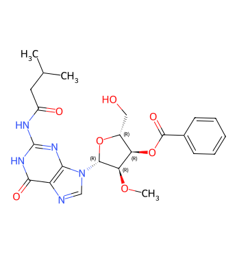 CO[C@@H]1[C@H](OC(=O)c2ccccc2)[C@@H](CO)O[C@H]1n1cnc2c(=O)[nH]c(NC(=O)CC(C)C)nc21